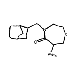 CNC1CSCCN(CC2CC3CCC2C3)C1=O